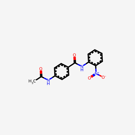 CC(=O)Nc1ccc(C(=O)Nc2ccccc2[N+](=O)[O-])cc1